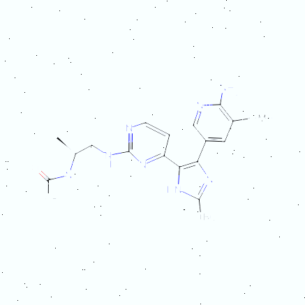 COc1cc(-c2nc(C(C)(C)C)[nH]c2-c2ccnc(NC[C@H](C)NC(=O)C(F)(F)F)n2)cnc1N